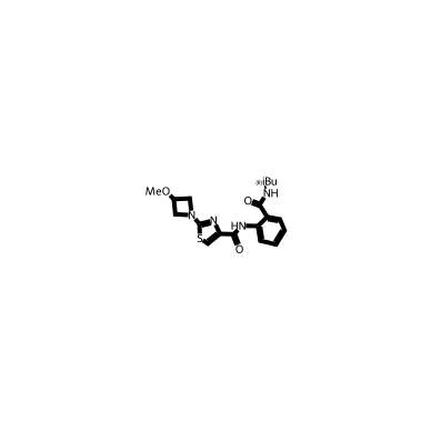 CC[C@@H](C)NC(=O)c1ccccc1NC(=O)c1csc(N2CC(OC)C2)n1